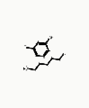 CCCCCCP.Oc1cccc(Cl)c1